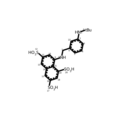 CC(C)(C)Nc1cccc(CNc2cc(S(=O)(=O)O)cc3cc(S(=O)(=O)O)cc(S(=O)(=O)O)c23)c1